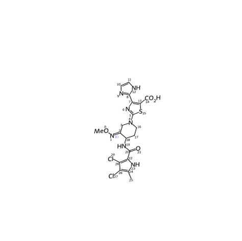 CO/N=C1\CN(c2nc(-c3ncc[nH]3)c(C(=O)O)s2)CCC1NC(=O)c1[nH]c(C)c(Cl)c1Cl